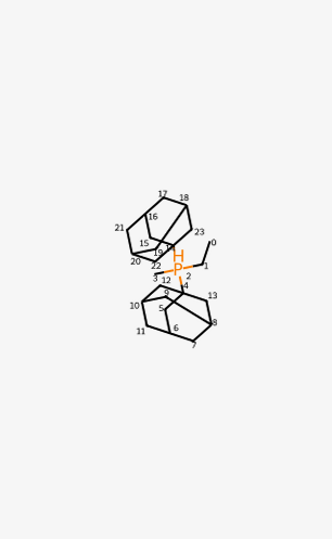 CC[PH](C)(C12CC3CC(CC(C3)C1)C2)C12CC3CC(CC(C3)C1)C2